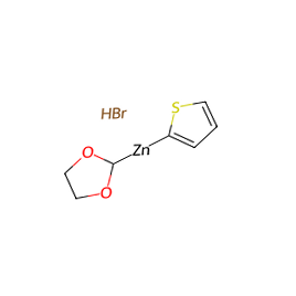 Br.c1cs[c]([Zn][CH]2OCCO2)c1